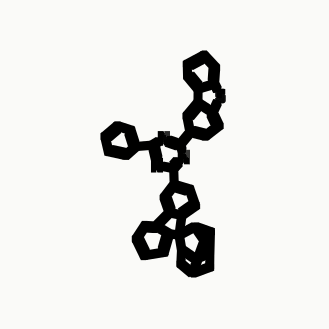 c1ccc(-c2nc(-c3ccc4c(c3)-c3ccccc3C43C4CC5CC(C4)CC3C5)nc(-c3ccc4sc5ccccc5c4c3)n2)cc1